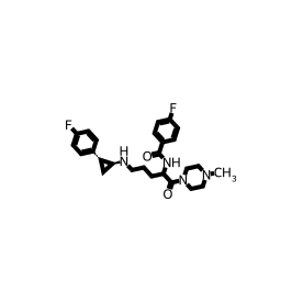 CN1CCN(C(=O)C(CCCN[C@H]2C[C@@H]2c2ccc(F)cc2)NC(=O)c2ccc(F)cc2)CC1